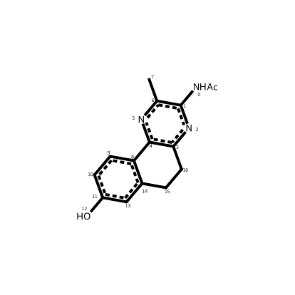 CC(=O)Nc1nc2c(nc1C)-c1ccc(O)cc1CC2